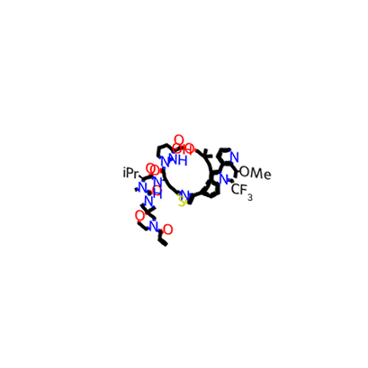 C=CC(=O)N1CCOC2(C1)CN(C(=O)N(C)[C@H](C(=O)N[C@H]1Cc3nc(cs3)-c3ccc4c(c3)c(c(-c3cccnc3[C@H](C)OC)n4CC(F)(F)F)CC(C)(C)COC(=O)[C@@]3(O)CCCN(N3)C1=O)C(C)C)C2